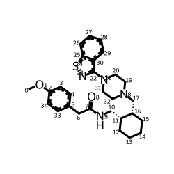 COc1ccc(CC(=O)NC[C@H]2CCCC[C@H]2CN2CCN(c3nsc4ccccc34)CC2)cc1